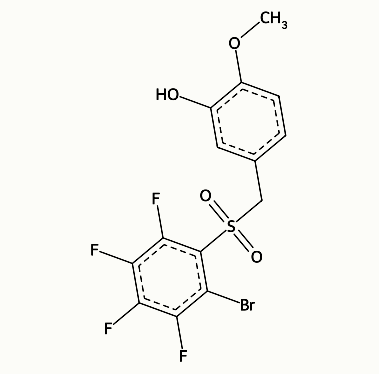 COc1ccc(CS(=O)(=O)c2c(F)c(F)c(F)c(F)c2Br)cc1O